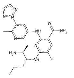 CCC[C@@H](Nc1nc(Nc2cnc(C)c(-n3nccn3)c2)c(C(N)=O)cc1F)[C@H](C)N